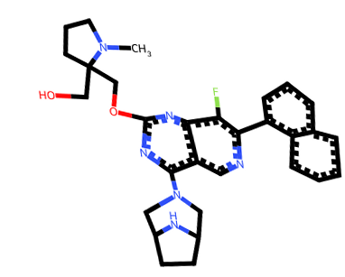 CN1CCCC1(CO)COc1nc(N2CC3CCC(C2)N3)c2cnc(-c3cccc4ccccc34)c(F)c2n1